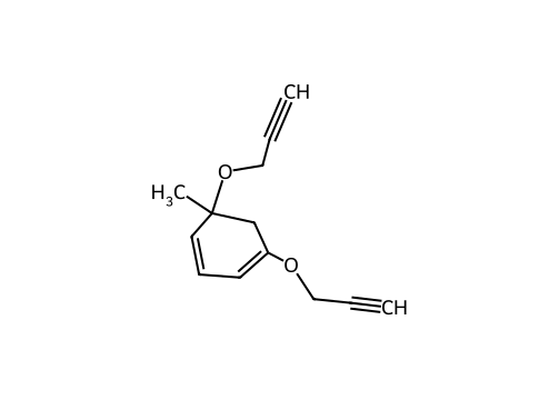 C#CCOC1=CC=CC(C)(OCC#C)C1